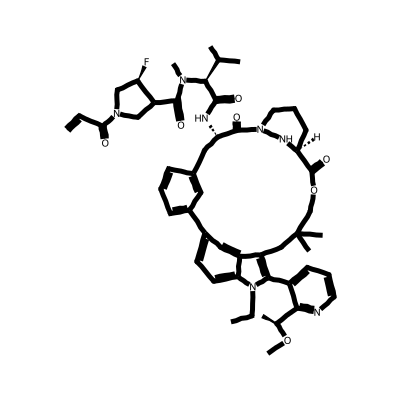 C=CC(=O)N1CC(C(=O)N(C)[C@H](C(=O)N[C@H]2Cc3cccc(c3)-c3ccc4c(c3)c(c(-c3cccnc3[C@H](C)OC)n4CC)CC(C)(C)COC(=O)[C@@H]3CCCN(N3)C2=O)C(C)C)[C@H](F)C1